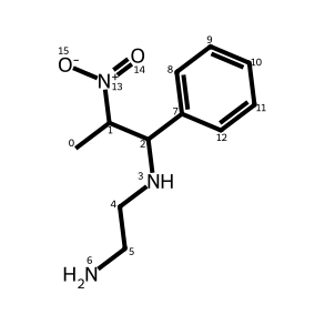 CC(C(NCCN)c1ccccc1)[N+](=O)[O-]